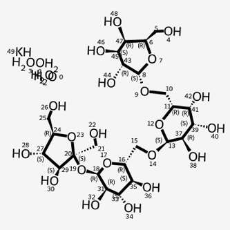 O.O.O.O.OC[C@H]1O[C@H](OC[C@H]2O[C@H](OC[C@H]3O[C@H](O[C@]4(CO)O[C@H](CO)[C@@H](O)[C@@H]4O)[C@H](O)[C@@H](O)[C@@H]3O)[C@H](O)[C@@H](O)[C@H]2O)[C@H](O)[C@@H](O)[C@H]1O.[KH]